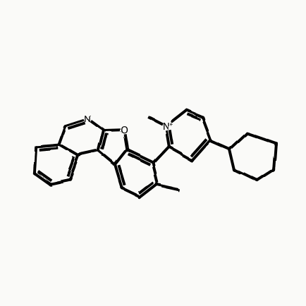 Cc1ccc2c(oc3ncc4ccccc4c32)c1-c1cc(C2CCCCC2)cc[n+]1C